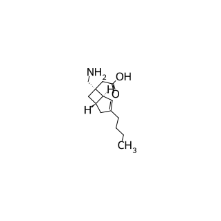 CCCCC1=C[C@H]2[C@H](C1)C[C@@]2(CN)CC(=O)O